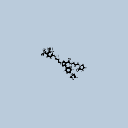 Nc1nc(NCCCn2cc(C(=O)NCCCN3CCCC3=O)c(-c3ccc(-n4ccnc4)cc3)c2)ccc1[N+](=O)[O-]